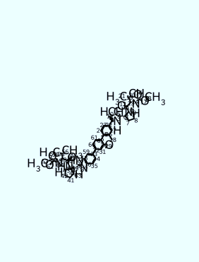 C/C=C(\NC(C)[C@@H]1CCCN1C(=O)[C@@H](NC(=O)OC)C(C)C)c1ccc2c(c1)COc1cc(-c3ccc4nc([C@@H]5[C@H]6CC[C@H](C6)N5C(=O)[C@@H](NC(=O)OC)C(C)C)[nH]c4c3)ccc1-2